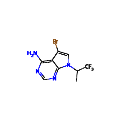 CC(n1cc(Br)c2c(N)ncnc21)C(F)(F)F